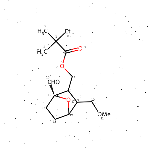 CCC(C)(C)C(=O)OCC1C(COC)C2CC[C@@]1(C=O)O2